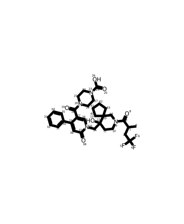 CC(CC(F)(F)F)C(=O)N1CCC(O)(Cn2cc(C(=O)N3CCN(C(=O)O)CC3)c(-c3ccccc3)cc2=O)C2(CCCC2)C1